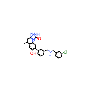 Cc1cc2n[nH]c(=O)n2c2cc(-c3cccc(CNCc4cccc(Cl)c4)c3)c(O)cc12